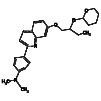 CCC(COc1ccc2ccc(-c3ccc(N(C)C)cc3)nc2c1)OC1CCCCO1